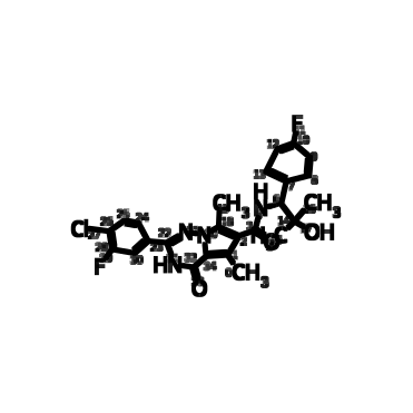 Cc1c(C(=O)N[C@@H](c2ccc(F)cc2)C(C)(C)O)c(C)n2nc(-c3ccc(Cl)c(F)c3)[nH]c(=O)c12